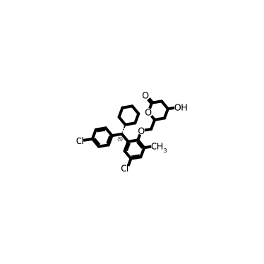 Cc1cc(Cl)cc([C@H](c2ccc(Cl)cc2)C2CCCCC2)c1OCC1CC(O)CC(=O)O1